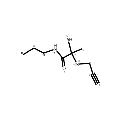 C#CCNC(C)(S)C(=O)NCCC